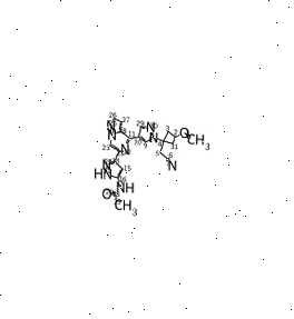 COC1CC(CC#N)(n2cc(-c3nc(-c4cc(NC(C)=O)[nH]n4)cn4nccc34)cn2)C1